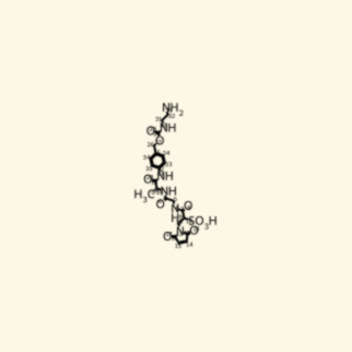 C[C@H](NC(=O)CNC(=O)C(CN1C(=O)C=CC1=O)S(=O)(=O)O)C(=O)Nc1ccc(COC(=O)NCCN)cc1